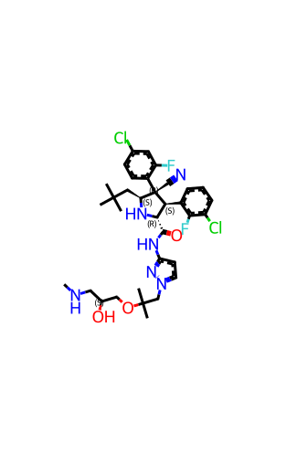 CNC[C@H](O)COC(C)(C)Cn1ccc(NC(=O)[C@@H]2N[C@@H](CC(C)(C)C)[C@](C#N)(c3ccc(Cl)cc3F)[C@H]2c2cccc(Cl)c2F)n1